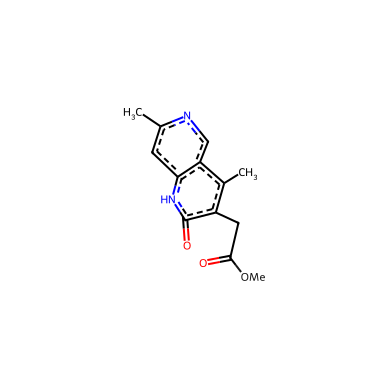 COC(=O)Cc1c(C)c2cnc(C)cc2[nH]c1=O